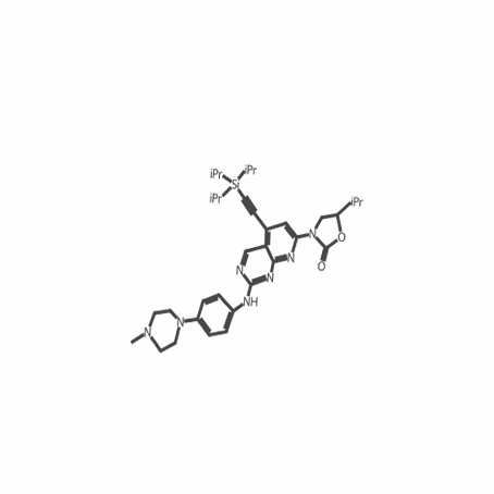 CC(C)C1CN(c2cc(C#C[Si](C(C)C)(C(C)C)C(C)C)c3cnc(Nc4ccc(N5CCN(C)CC5)cc4)nc3n2)C(=O)O1